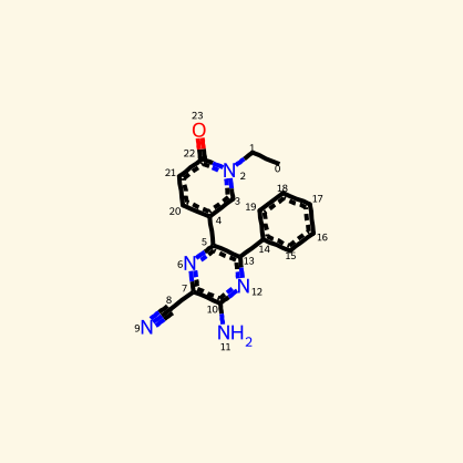 CCn1cc(-c2nc(C#N)c(N)nc2-c2ccccc2)ccc1=O